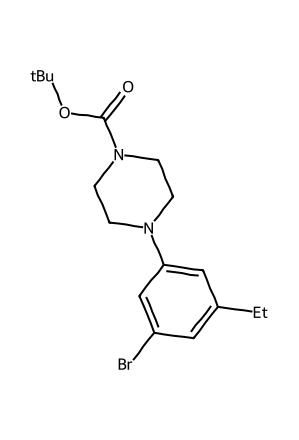 CCc1cc(Br)cc(N2CCN(C(=O)OC(C)(C)C)CC2)c1